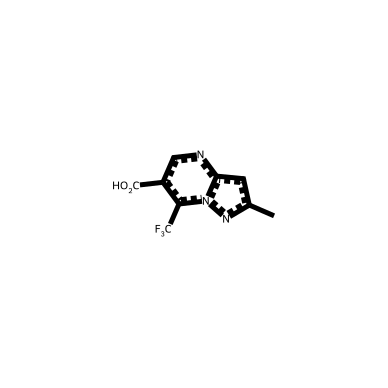 Cc1cc2ncc(C(=O)O)c(C(F)(F)F)n2n1